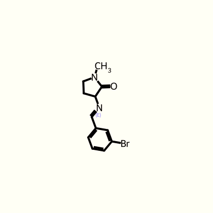 CN1CCC(/N=C/c2cccc(Br)c2)C1=O